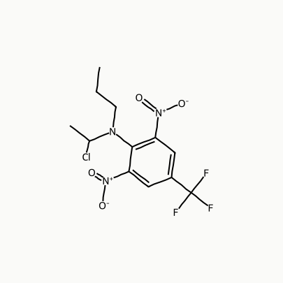 CCCN(c1c([N+](=O)[O-])cc(C(F)(F)F)cc1[N+](=O)[O-])C(C)Cl